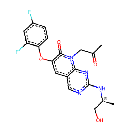 CC(=O)Cn1c(=O)c(Oc2ccc(F)cc2F)cc2cnc(N[C@@H](C)CO)nc21